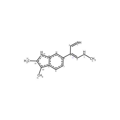 CN/C=C(\C=N)c1ccc2c(C)c(C)[nH]c2c1